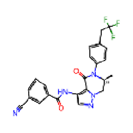 C[C@H]1Cn2ncc(NC(=O)c3cccc(C#N)c3)c2C(=O)N1c1ccc(CC(F)(F)F)cc1